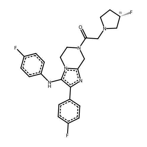 O=C(CN1CC[C@H](F)C1)N1CCn2c(nc(-c3ccc(F)cc3)c2Nc2ccc(F)cc2)C1